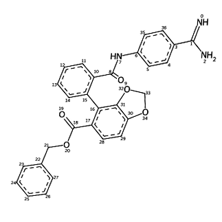 N=C(N)c1ccc(NC(=O)c2ccccc2-c2c(C(=O)OCc3ccccc3)ccc3c2OCO3)cc1